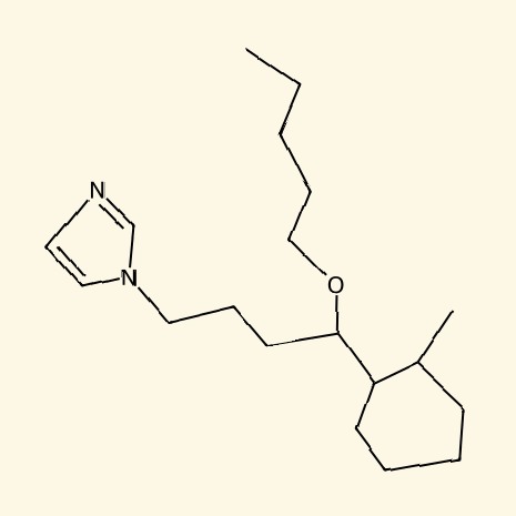 CCCCCOC(CCCn1ccnc1)C1CCCCC1C